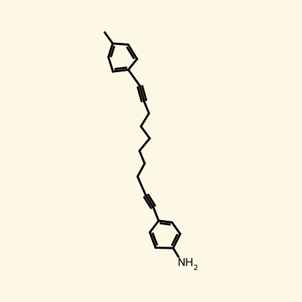 Cc1ccc(C#CCCCCCCC#Cc2ccc(N)cc2)cc1